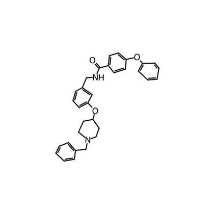 O=C(NCc1cccc(OC2CCN(Cc3ccccc3)CC2)c1)c1ccc(Oc2ccccc2)cc1